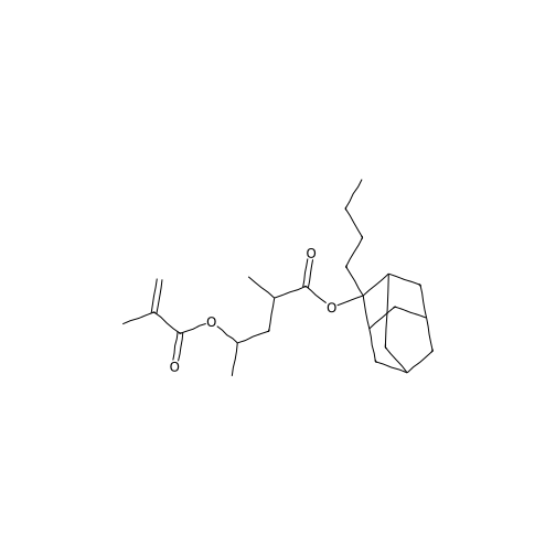 C=C(C)C(=O)OC(C)CC(C)C(=O)OC1(CCCC)C2CC3CC(C2)CC1C3